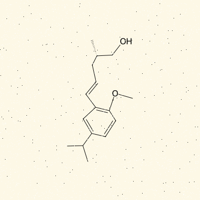 COc1ccc(C(C)C)cc1/C=C/C[C@H](C)CO